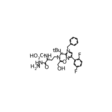 CC(C)(C)[C@H](c1nc(-c2cc(F)ccc2F)cn1Cc1ccccc1)N(CC[C@H](NC(=O)O)C(=O)NN)C(=O)CO